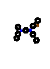 c1ccc(-c2ccc(N(c3ccc(-n4c5ccccc5c5cc6ccccc6cc54)cc3)c3ccc4c(c3)sc3ccccc34)cc2)cc1